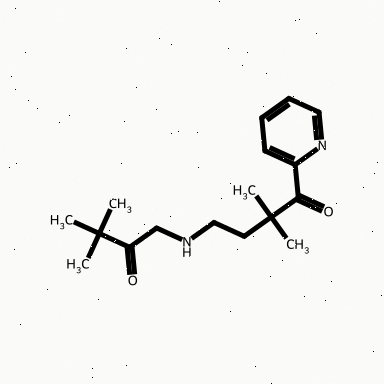 CC(C)(C)C(=O)CNCCC(C)(C)C(=O)c1ccccn1